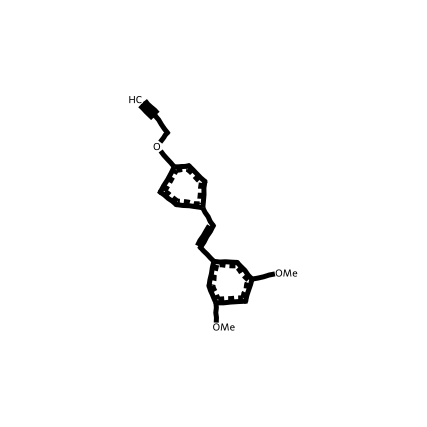 C#CCOc1ccc(/C=C/c2cc(OC)cc(OC)c2)cc1